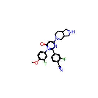 COc1ccc(-n2c(-c3ccc(C#N)c(F)c3)nc(N3CCC4CNCC4C3)cc2=O)cc1F